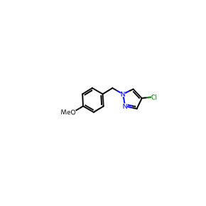 COc1ccc(Cn2cc(Cl)cn2)cc1